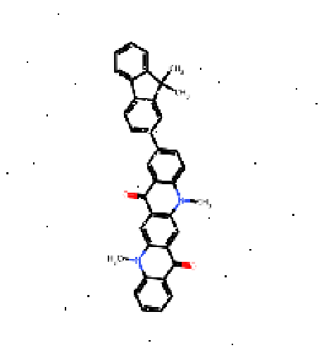 Cn1c2ccccc2c(=O)c2cc3c(cc21)c(=O)c1cc(-c2ccc4c(c2)C(C)(C)c2ccccc2-4)ccc1n3C